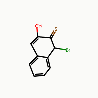 OC1=Cc2ccccc2C(Br)C1=S